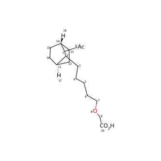 CC(=O)C1C(CCCCCOCC(=O)O)[C@H]2CC[C@H]1CC2